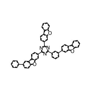 c1ccc(-c2ccc3oc4cc(-c5nc(-c6cccc(-c7ccc8c(c7)oc7ccccc78)c6)nc(-c6ccc7c(c6)oc6ccccc67)n5)ccc4c3c2)cc1